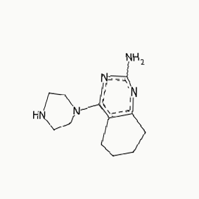 Nc1nc2c(c(N3CCNCC3)n1)CCCC2